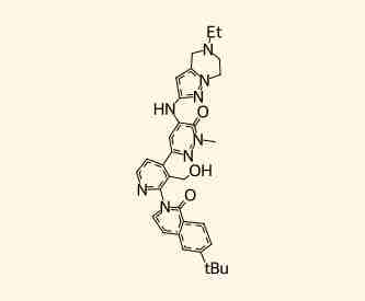 CCN1CCn2nc(Nc3cc(-c4ccnc(-n5ccc6cc(C(C)(C)C)ccc6c5=O)c4CO)nn(C)c3=O)cc2C1